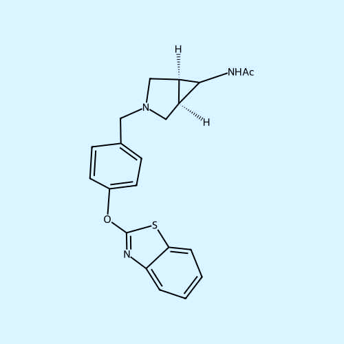 CC(=O)NC1[C@H]2CN(Cc3ccc(Oc4nc5ccccc5s4)cc3)C[C@@H]12